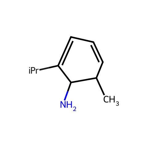 CC(C)C1=CC=CC(C)C1N